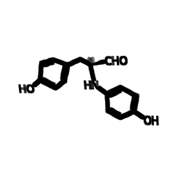 O=C[C@H](Cc1ccc(O)cc1)Nc1ccc(O)cc1